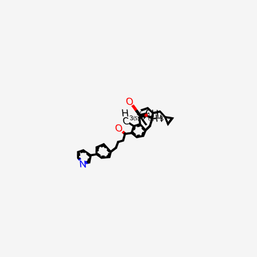 Cc1c(C(=O)CCCc2ccc(-c3cccnc3)cc2)ccc2c1[C@]13CCC(CC4CC4)[C@H](C2)[C@]1(C)CCC(=O)C3